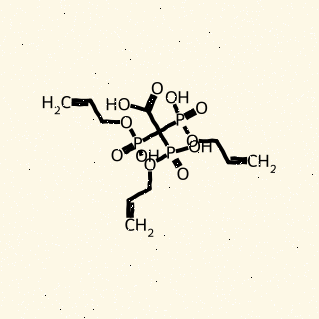 C=CCOP(=O)(O)C(C(=O)O)(P(=O)(O)OCC=C)P(=O)(O)OCC=C